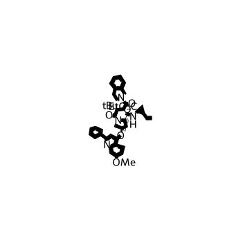 C=CC1CC1(NC(=O)[C@@H]1C[C@@H](Oc2cc(-c3ccccc3)nc3cc(OC)ccc23)CN1C(=O)C(CC(=O)N1CCc2ccccc2C1)C(C)(C)C)C(=O)OCC